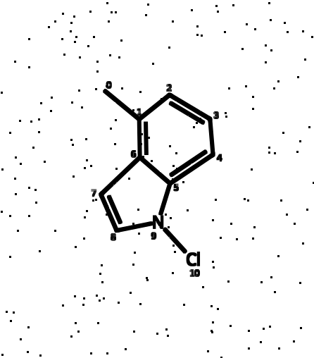 Cc1cccc2c1ccn2Cl